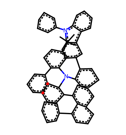 CC(C)(C)c1ccc(-c2ccccc2)c(N(c2ccccc2-c2ccc3c(c2)c2ccccc2n3-c2ccccc2)c2ccccc2-c2cccc3cccc(-c4ccccc4)c23)c1